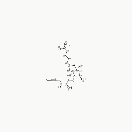 CC#CC[C@H](C)[C@H](O)C=C[C@@H]1[C@H]2CC(=CCCCC(N)=O)C[C@H]2C[C@H]1O